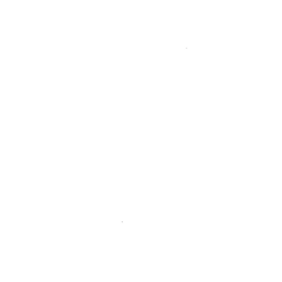 Cc1ccccc1-c1ccc(OCCN(C)C)c(C=CC(=O)c2ccccc2CN2CCCC2)c1